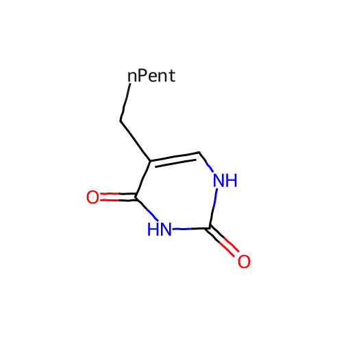 CCCCCCc1c[nH]c(=O)[nH]c1=O